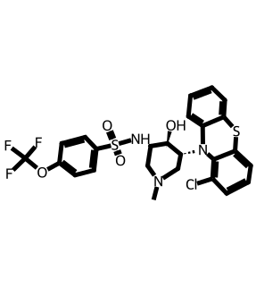 CN1C[C@H](NS(=O)(=O)c2ccc(OC(F)(F)F)cc2)[C@@H](O)[C@H](N2c3ccccc3Sc3cccc(Cl)c32)C1